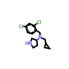 Clc1ccc(CN(CC2CC2)[C@H]2CCNC2)c(Cl)c1